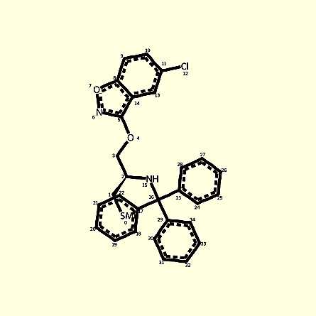 CSC[C@@H](COc1noc2ccc(Cl)cc12)NC(c1ccccc1)(c1ccccc1)c1ccccc1